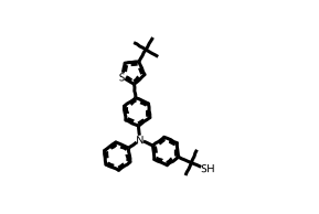 CC(C)(C)c1csc(-c2ccc(N(c3ccccc3)c3ccc(C(C)(C)S)cc3)cc2)c1